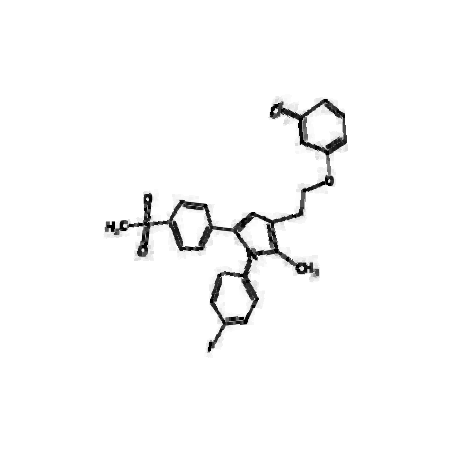 Cc1c(CCOc2cccc(Cl)c2)cc(-c2ccc(S(C)(=O)=O)cc2)n1-c1ccc(F)cc1